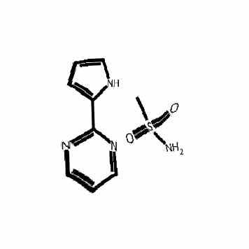 CS(N)(=O)=O.c1cnc(-c2ccc[nH]2)nc1